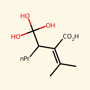 CCCC(C(C(=O)O)=C(C)C)C(O)(O)O